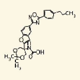 CCCc1ccc(-c2nc(-c3ccc4oc(C5(NC(=O)O)COC(C)(C)OC5)cc4c3)no2)cc1